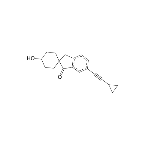 O=C1c2cc(C#CC3CC3)ccc2CC12CCC(O)CC2